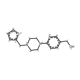 OCc1ccc(N2CCN(Cc3cccs3)CC2)nc1